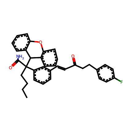 CCCCC(C(N)=O)(c1cccc(C=CC(=O)CCc2ccc(F)cc2)c1)C1c2ccccc2Oc2ccccc21